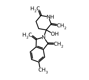 C=C1CCC(O)(n2c(=C)c3ccc(C)cc3c2=C)C(=C)N1